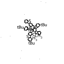 CC(C)(C)c1ccc(Nc2cc3sc4cc(C(C)(C)C)ccc4c3cc2-c2c3c(c4c5cc(C(C)(C)C)ccc5n5c4c2Bc2cc4c(cc2-5)sc2ccccc24)-c2ccccc2C3(C)C)cc1